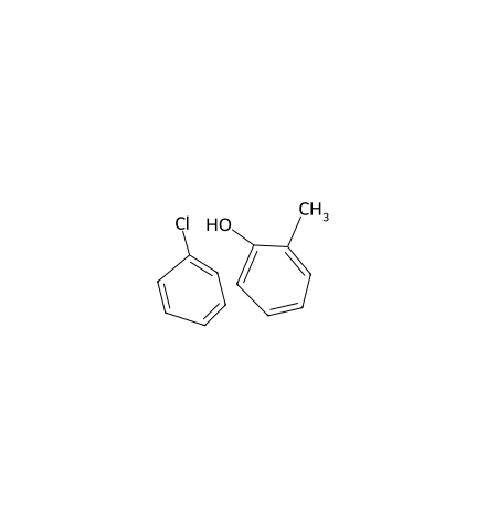 Cc1ccccc1O.Clc1ccccc1